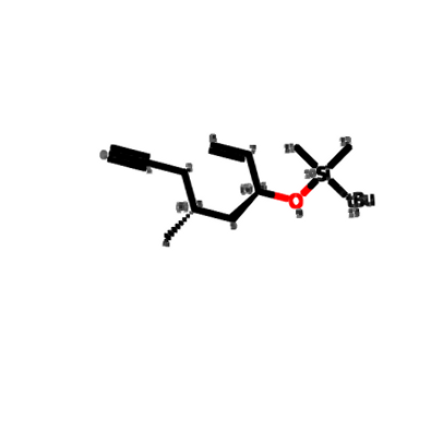 C#CC[C@@H](C)C[C@@H](C=C)O[Si](C)(C)C(C)(C)C